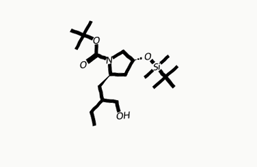 CCC(CO)C[C@@H]1C[C@@H](O[Si](C)(C)C(C)(C)C)CN1C(=O)OC(C)(C)C